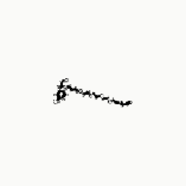 C#CCOCCOCCOCCOCCOCCCCn1c(CCl)nc2cc(Cl)ccc21